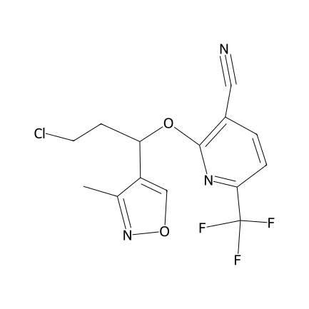 Cc1nocc1C(CCCl)Oc1nc(C(F)(F)F)ccc1C#N